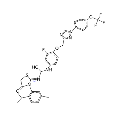 Cc1ccc(C(C)C)c(N2C(=O)CS/C2=N\C(O)Nc2ccc(OCc3ncn(-c4ccc(OC(F)(F)F)cc4)n3)c(F)c2)c1